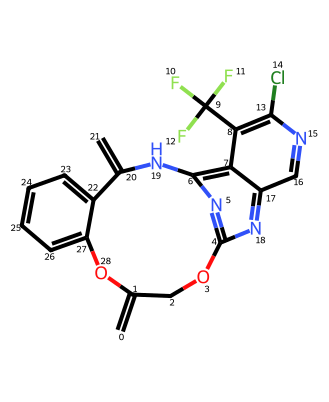 C=C1COc2nc(c3c(C(F)(F)F)c(Cl)ncc3n2)NC(=C)c2ccccc2O1